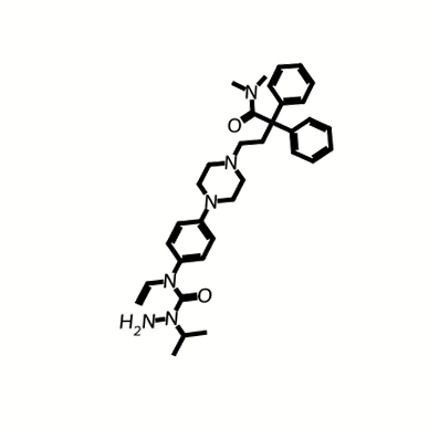 C=CN(C(=O)N(N)C(C)C)c1ccc(N2CCN(CCC(C(=O)N(C)C)(c3ccccc3)c3ccccc3)CC2)cc1